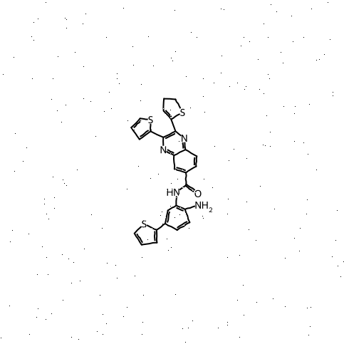 Nc1ccc(-c2cccs2)cc1NC(=O)c1ccc2nc(C3=CCCS3)c(-c3cccs3)nc2c1